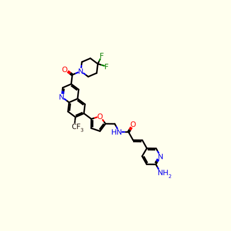 Nc1ccc(C=CC(=O)NCc2ccc(-c3cc4cc(C(=O)N5CCC(F)(F)CC5)cnc4cc3C(F)(F)F)o2)cn1